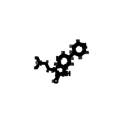 CN(C)CCn1c(=O)[nH]c2cc(-c3ccncc3)cnc21